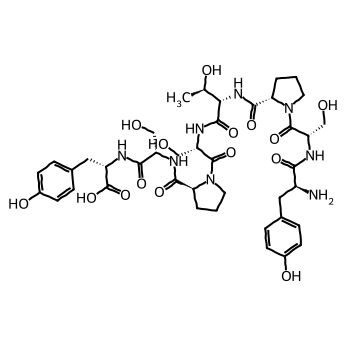 C[C@@H](O)[C@H](NC(=O)[C@@H]1CCCN1C(=O)[C@H](CO)NC(=O)[C@@H](N)Cc1ccc(O)cc1)C(=O)N[C@@H](CO)C(=O)N1CCC[C@H]1C(=O)N[C@@H](CO)C(=O)N[C@@H](Cc1ccc(O)cc1)C(=O)O